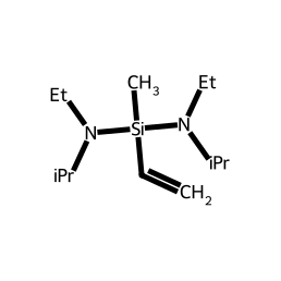 C=C[Si](C)(N(CC)C(C)C)N(CC)C(C)C